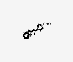 O=[C]N1CCN(CCc2cc3ccccc3[nH]2)CC1